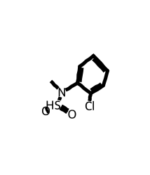 CN(c1ccccc1Cl)[SH](=O)=O